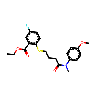 CCOC(=O)c1cc(F)ccc1SCCCC(=O)N(C)c1ccc(OC)cc1